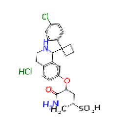 CC(CC(Oc1ccc2c(c1)C(C1(c3ccc(Cl)cc3)CCC1)NCC2)C(N)=O)S(=O)(=O)O.Cl